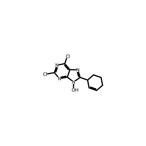 On1c(C2C=CCCC2)nc2c(Cl)nc(Cl)nc21